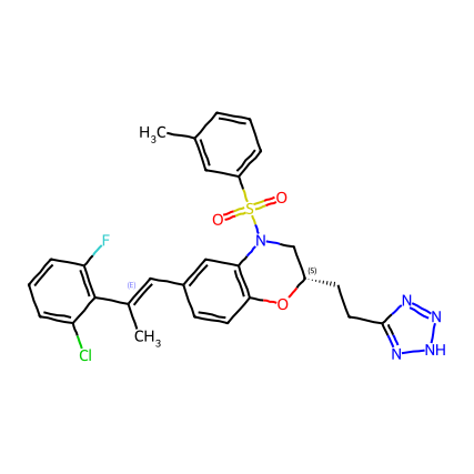 C/C(=C\c1ccc2c(c1)N(S(=O)(=O)c1cccc(C)c1)C[C@H](CCc1nn[nH]n1)O2)c1c(F)cccc1Cl